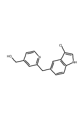 OCc1ccnc(Cc2ccc3[nH]cc(Cl)c3c2)c1